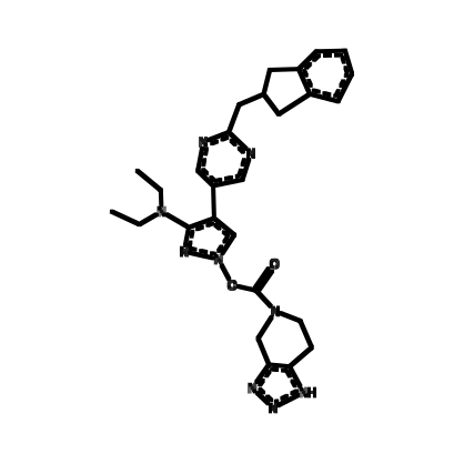 CCN(CC)c1nn(OC(=O)N2CCc3[nH]nnc3C2)cc1-c1cnc(CC2Cc3ccccc3C2)nc1